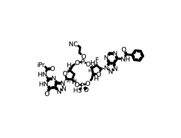 CC(C)C(=O)Nc1nc2c(nnn2[C@@H]2O[C@@H]3COP(OCCC#N)O[C@H]4[C@H](F)[C@H](n5nnc6c(NC(=O)c7ccccc7)ncnc65)O[C@@H]4COP(=O)(S)O[C@H]2C3)c(=O)[nH]1